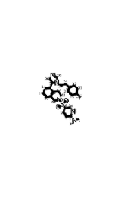 CN(C)c1ccc(S(=O)(=O)N2CCc3c(cccc3-c3cncn3CCc3ccc(F)cc3)C2)cn1